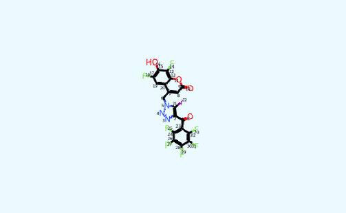 O=C(c1nnn(Cc2cc(=O)oc3c(F)c(O)c(F)cc23)c1I)c1c(F)c(F)c(F)c(F)c1F